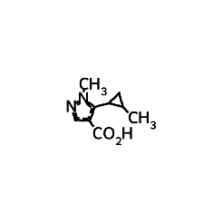 CC1CC1c1c(C(=O)O)cnn1C